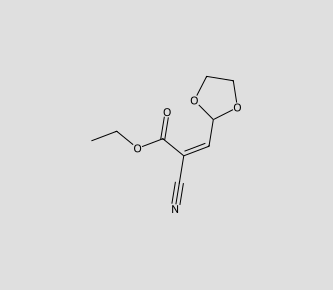 CCOC(=O)C(C#N)=CC1OCCO1